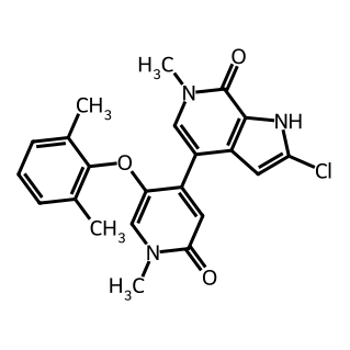 Cc1cccc(C)c1Oc1cn(C)c(=O)cc1-c1cn(C)c(=O)c2[nH]c(Cl)cc12